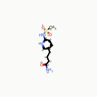 CS(=O)(=O)Nc1ccc([CH]CCC(N)=O)cn1